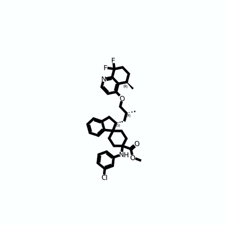 COC(=O)C1(Nc2cccc(Cl)c2)CCC2(CC1)c1ccccc1C[C@@H]2C[C@@H](C)COc1ccnc2c1[C@H](C)CCC2(F)F